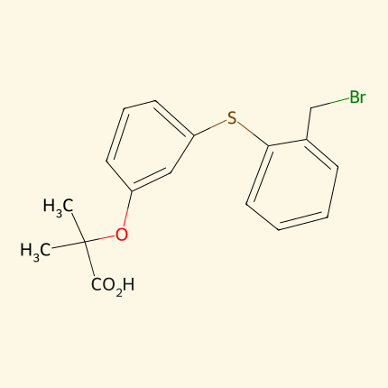 CC(C)(Oc1cccc(Sc2ccccc2CBr)c1)C(=O)O